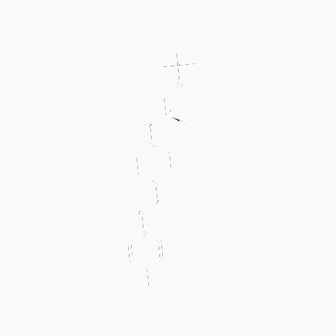 CC(C)(C)NC[C@@H](N)C(=O)N1CCN(C(=O)Nc2ccc(Cl)c(F)c2)CC1